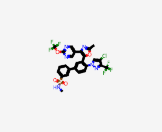 CNS(=O)(=O)c1cccc(-c2ccc(-n3cc(Cl)c(C(F)(F)F)n3)c(-c3oc(C)nc3-c3cnc(OC(F)(F)F)nc3)c2)c1